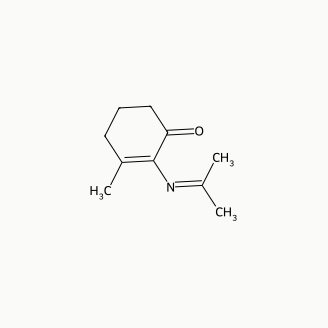 CC(C)=NC1=C(C)CCCC1=O